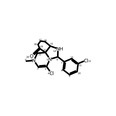 CN1C=C(Cl)N2C(c3cccc(Cl)c3)NC3CCCC(=O)C32C1